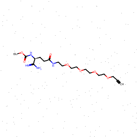 C#CCOCCOCCOCCOCCNC(=O)CC[C@H](NC(=O)OC(C)(C)C)C(=N)N